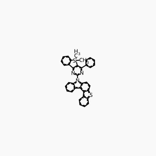 C[Si]1(C)c2ccccc2-c2nc(-n3c4ccccc4c4c5c(ccc43)sc3ccccc35)nc(-c3ccccc3)c21